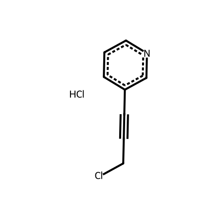 Cl.ClCC#Cc1cccnc1